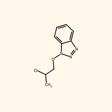 CC(Cl)COn1nnc2ccccc21